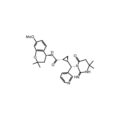 COc1ccc2c(c1)OC(C)(C)C[C@@H]2NC(=O)[C@@H]1C[C@H]1[C@@H](c1cccnc1)N1C(=N)NC(C)(C)CC1=O